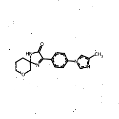 Cc1cn(-c2ccc(C3=NC4(CCCOC4)NC3=O)cc2)cn1